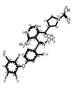 C/N=C(/c1ccc(Oc2c(F)c(F)cc(F)c2F)cc1F)c1c(N)ncnc1C(C)C1CCN(C(=O)C#N)C1